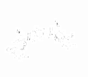 Cc1ccc(Cl)c(/C=C(/C#N)C(=O)NCc2cccc(CNC(=O)/C(C#N)=C\c3c(Cl)ccc(C)c3F)c2)c1F